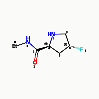 CCNC(=O)[C@@H]1C[C@@H](F)CN1